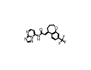 O=C(C=C1CCCOc2cc(C(F)(F)F)ccc21)Nc1ccnc2ncnn12